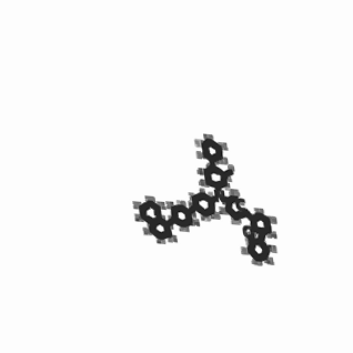 Cc1cc(N(c2ccc(-c3ccc(-c4cccc5ccccc45)cc3)cc2)c2ccc(-c3cccc4c3oc3ccccc34)cc2)ccc1-c1ccccc1